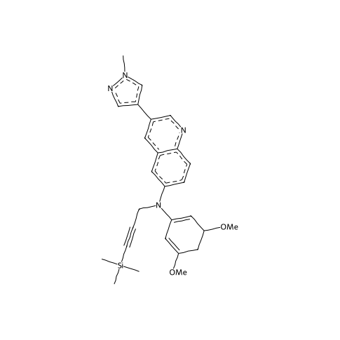 COC1=CC(N(CC#C[Si](C)(C)C)c2ccc3ncc(-c4cnn(C)c4)cc3c2)=CC(OC)C1